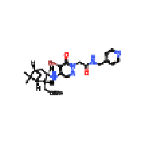 COC[C@@H]1[C@H]2C[C@@H](C[C@H]1Nc1cnn(CC(=O)NCc3ccncc3)c(=O)c1Br)C2(C)C